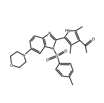 CC(=O)c1c(C)[nH]c(-c2nc3ccc(N4CCOCC4)cc3n2S(=O)(=O)c2ccc(C)cc2)c1C